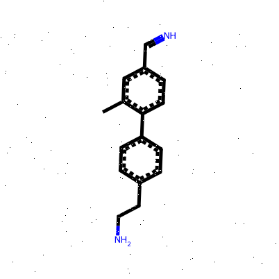 Cc1cc(C=N)ccc1-c1ccc(CCN)cc1